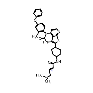 Cc1cc(Oc2ccccc2)ccc1N1C(=O)Nc2c(C3CCC(NC(=O)/C=C/CN(C)C)CC3)sc3nccc1c23